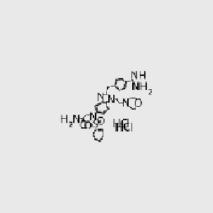 Cl.Cl.N=C(N)c1ccc(Cc2nc3cc(N(CC(N)=O)S(=O)(=O)c4ccccc4)ccc3n2CCN2CCOCC2)cc1